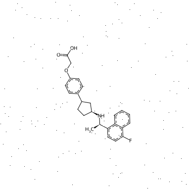 C[C@@H](N[C@H]1CCC(c2ccc(OCC(=O)O)cc2)C1)c1ccc(F)c2ccccc12